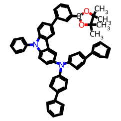 CC1(C)OB(c2cccc(-c3ccc4c(c3)c3cc(N(c5ccc(-c6ccccc6)cc5)c5ccc(-c6ccccc6)cc5)ccc3n4-c3ccccc3)c2)OC1(C)C